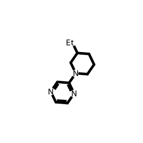 CCC1CCCN(c2cnccn2)C1